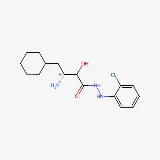 N[C@H](CC1CCCCC1)C(O)C(=O)NNc1ccccc1Cl